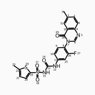 Cc1ccc2ncn(-c3ccc(NC(=O)NS(=O)(=O)c4ccc(C)s4)cc3F)c(=O)c2c1